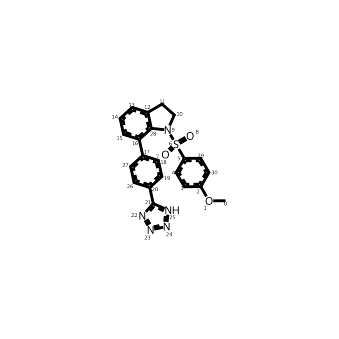 COc1ccc(S(=O)(=O)N2CCc3cccc(-c4ccc(-c5nnn[nH]5)cc4)c32)cc1